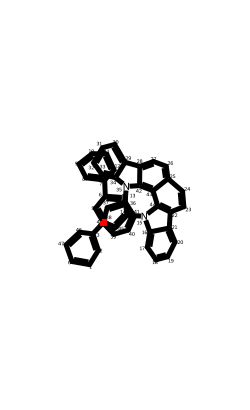 c1ccc(-c2cc(-c3ccccc3)nc(-n3c4ccccc4c4ccc5ccc6c7ccccc7n(-c7ccccc7)c6c5c43)c2)cc1